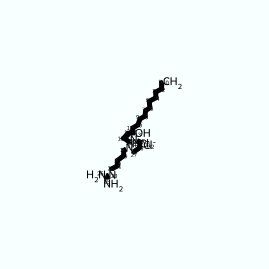 C=CCCCCCCCCCCC1(O)C=CC2=[N+](CCCCCN=C(N)N)CCCN21.Cl.[Cl-]